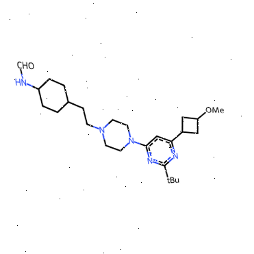 COC1CC(c2cc(N3CCN(CCC4CCC(NC=O)CC4)CC3)nc(C(C)(C)C)n2)C1